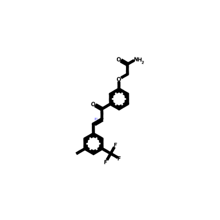 Cc1cc(/C=C/C(=O)c2cccc(OCC(N)=O)c2)cc(C(F)(F)F)c1